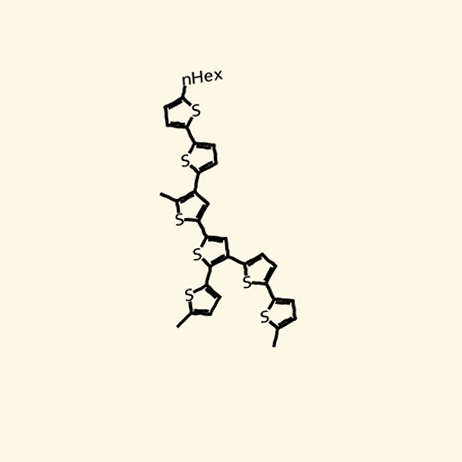 CCCCCCc1ccc(-c2ccc(-c3cc(-c4cc(-c5ccc(-c6ccc(C)s6)s5)c(-c5ccc(C)s5)s4)sc3C)s2)s1